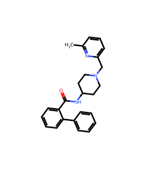 Cc1cccc(CN2CCC(NC(=O)c3ccccc3-c3ccccc3)CC2)n1